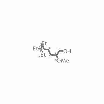 CC[PH](CC)(CC)CCC(CO)OC